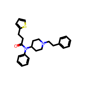 O=C(CCc1cccs1)N(c1ccccc1)C1CCN(CCc2ccccc2)CC1